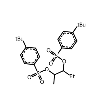 CCC(OS(=O)(=O)c1ccc(C(C)(C)C)cc1)C(C)OS(=O)(=O)c1ccc(C(C)(C)C)cc1